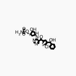 NS(=O)(=O)OC[C@H]1C[C@@H](Nc2ncncc2C(=O)c2cc(C(O)c3ccccc3)c(Cl)s2)C[C@@H]1O